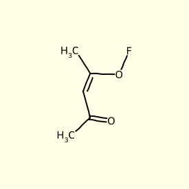 CC(=O)/C=C(/C)OF